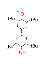 CC(C)(C)C1CC(C2CC(C(C)(C)C)C(OF)C(C(C)(C)C)C2)CC(C(C)(C)C)C1O